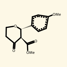 COC(=O)[C@H]1C(=O)CCO[C@@H]1c1ccc(OC)cc1